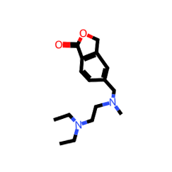 CCN(CC)CCN(C)Cc1ccc2c(c1)COC2=O